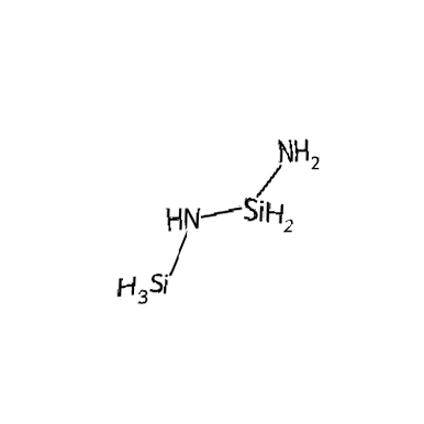 N[SiH2]N[SiH3]